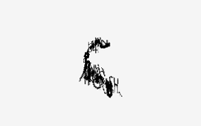 Cc1cccc(OCC(=O)Nc2nnc(-c3ccc(Oc4ccc(COCC(=O)Nc5nnc(-c6ccccn6)[nH]5)cc4)cn3)[nH]2)c1